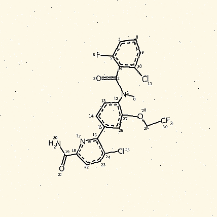 CN(C(=O)c1c(F)cccc1Cl)c1ccc(-c2nc(C(N)=O)ccc2Cl)cc1OCC(F)(F)F